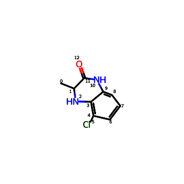 CC1Nc2c(Cl)cccc2NC1=O